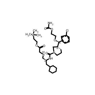 C[Si](C)(C)CCOC(=O)CNC[C@H](CC1CCCCC1)NC(=O)N1CCC[C@@H]([C@@H](OCCOC(N)=O)c2cccc(Cl)c2)C1